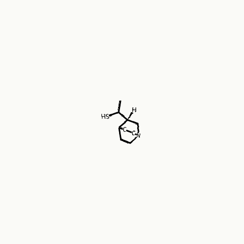 CC(S)[C@@H]1CN2CCC1CC2